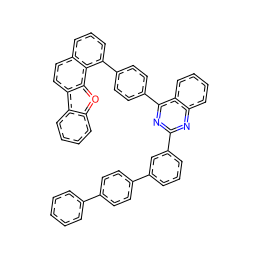 c1ccc(-c2ccc(-c3cccc(-c4nc(-c5ccc(-c6cccc7ccc8c9ccccc9oc8c67)cc5)c5ccccc5n4)c3)cc2)cc1